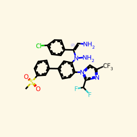 CS(=O)(=O)c1cccc(-c2ccc(-n3cc(C(F)(F)F)nc3C(F)F)c(N(N)/C(=C\N)c3ccc(Cl)cc3)c2)c1